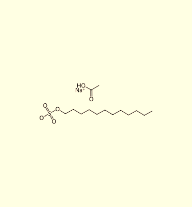 CC(=O)O.CCCCCCCCCCCCOS(=O)(=O)[O-].[Na+]